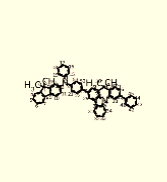 CC1(C)c2ccccc2-c2ccc(N(c3ccccc3)c3ccc(-c4cc5c6c(c4)c4ccccc4n6-c4cc(-c6ccccc6)ccc4C5(C)C)cc3)cc21